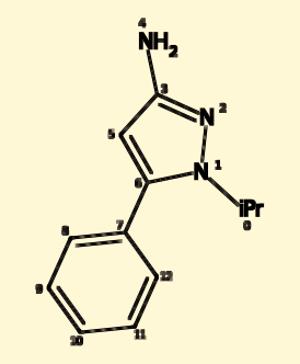 CC(C)n1nc(N)cc1-c1ccccc1